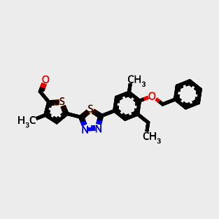 CCc1cc(-c2nnc(-c3cc(C)c(C=O)s3)s2)cc(C)c1OCc1ccccc1